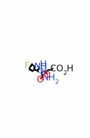 NC(=O)[C@H](Cc1c[nH]c2cc(F)ccc12)NC(=O)CCC(=O)O